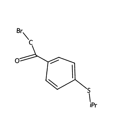 CC(C)Sc1ccc(C(=O)CBr)cc1